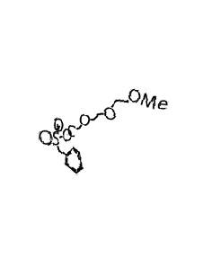 COCCOCCOCCOS(=O)(=O)Cc1ccccc1